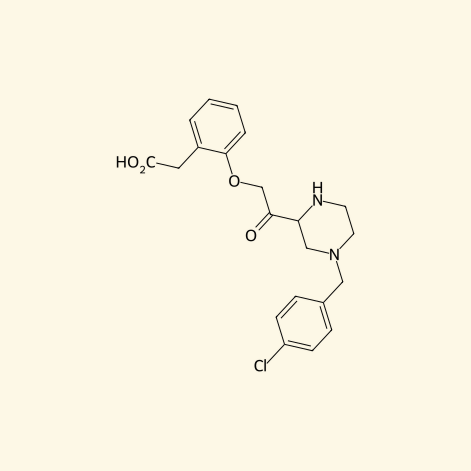 O=C(O)Cc1ccccc1OCC(=O)C1CN(Cc2ccc(Cl)cc2)CCN1